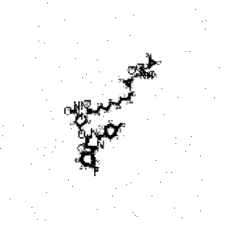 Cc1ccc(-c2nc(O[C@@H]3C[C@@H](C(N)=O)N(C(=O)CCCCCC/C=C\[C@@H]4C[C@@H]4C(=O)NS(=O)(=O)C4CC4)C3)c3oc4ccc(F)cc4c3n2)cc1